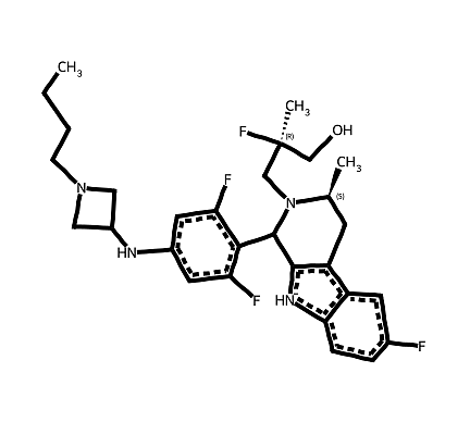 CCCCN1CC(Nc2cc(F)c(C3c4[nH]c5ccc(F)cc5c4C[C@H](C)N3C[C@@](C)(F)CO)c(F)c2)C1